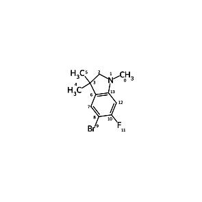 CN1CC(C)(C)c2cc(Br)c(F)cc21